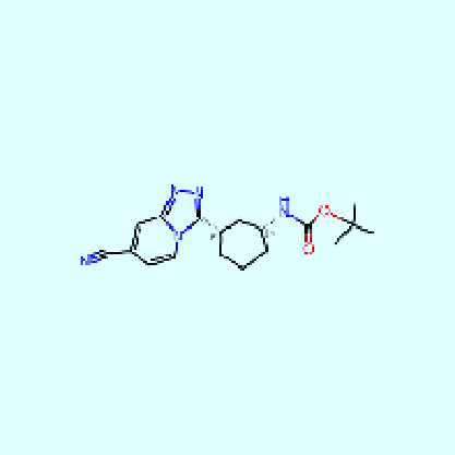 CC(C)(C)OC(=O)N[C@@H]1CCC[C@H](c2nnc3cc(C#N)ccn23)C1